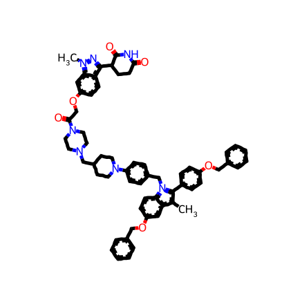 Cc1c(-c2ccc(OCc3ccccc3)cc2)n(Cc2ccc(N3CCC(CN4CCN(C(=O)COc5ccc6c(C7CCC(=O)NC7=O)nn(C)c6c5)CC4)CC3)cc2)c2ccc(OCc3ccccc3)cc12